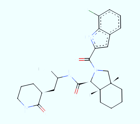 O=C(O)C(C[C@@H]1CCCNC1=O)NC(=O)[C@@H]1[C@H]2CCCC[C@H]2CN1C(=O)c1cc2cccc(Cl)c2[nH]1